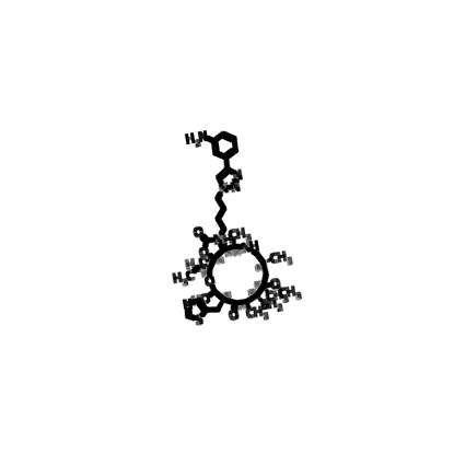 B[C@@H]1[C@@H](C)C(=O)[C@@H](Cc2cncs2)C(O)O[C@H](CC)[C@@]2(C)OC(=O)N(CCCCn3cc(-c4cccc(N)c4)nn3)[C@@H]2[C@@H](C)NC[C@H](C)C[C@@]1(C)OC